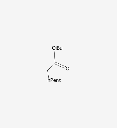 CCCCCCC(=O)OCC(C)C